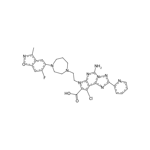 Cc1noc2cc(F)c(N3CCCN(CCn4c(C(=O)O)c(Cl)c5c4nc(N)n4nc(-c6ccccn6)nc54)CC3)cc12